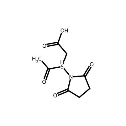 CC(=O)[SH](CC(=O)O)N1C(=O)CCC1=O